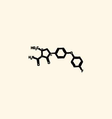 NC(=O)N1C(=O)[C@H](c2ccc(Oc3ccc(F)cc3)cc2)C[C@@H]1C(=O)O